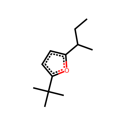 CCC(C)c1ccc(C(C)(C)C)o1